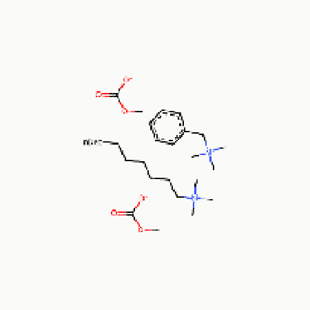 CCCCCCCCCCCCCCCC[N+](C)(C)C.COC(=O)[O-].COC(=O)[O-].C[N+](C)(C)Cc1ccccc1